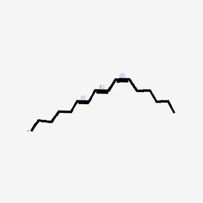 [CH2]CCCC/C=C/C=C/C=C\CCCCC